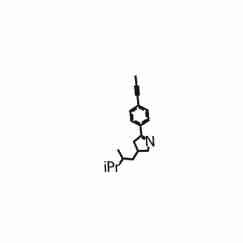 CC#Cc1ccc(C2=NCC(CC(C)C(C)C)C2)cc1